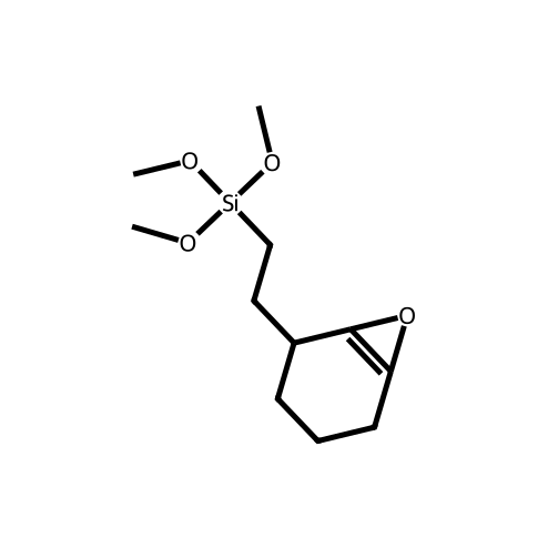 CO[Si](CCC1CCCC2=C1O2)(OC)OC